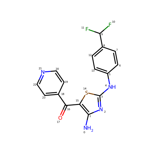 Nc1nc(Nc2ccc(C(F)F)cc2)sc1C(=O)c1ccncc1